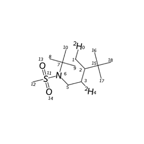 [2H]CC(C([2H])CN(C(C)(C)C)S(C)(=O)=O)C(C)(C)C